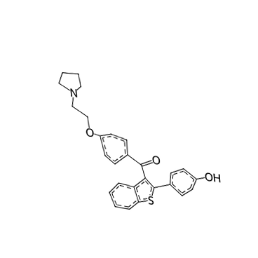 O=C(c1ccc(OCCN2CCCC2)cc1)c1c(-c2ccc(O)cc2)sc2ccccc12